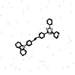 C(#Cc1ccc(-n2c3ccccc3c3ccccc32)cc1)c1ccc(-c2nc(-c3ccccc3)nc(-c3ccccc3)n2)cc1